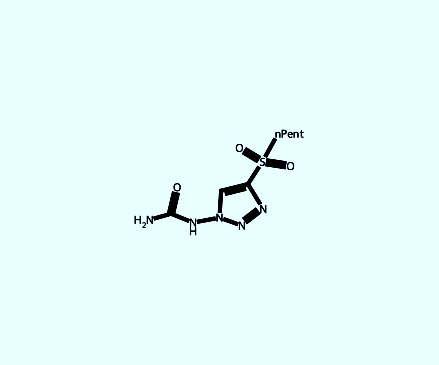 CCCCCS(=O)(=O)c1cn(NC(N)=O)nn1